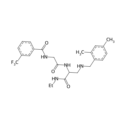 CCNC(=O)C(CNCc1ccc(C)cc1C)NC(=O)CNC(=O)c1cccc(C(F)(F)F)c1